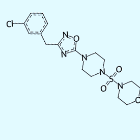 O=S(=O)(N1CCOCC1)N1CCN(c2nc(Cc3cccc(Cl)c3)no2)CC1